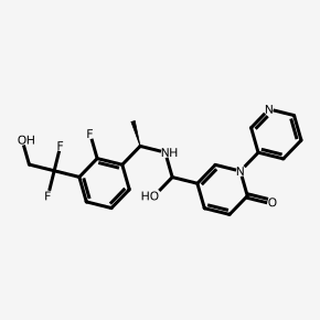 C[C@@H](NC(O)c1ccc(=O)n(-c2cccnc2)c1)c1cccc(C(F)(F)CO)c1F